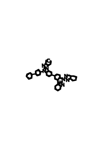 c1ccc(-c2ccc(-n3c4ccc(-c5ccc6c(c5)n5c7ccccc7nc5n6-c5ncc6ccccc6n5)cc4n4c5ccccc5nc34)cc2)cc1